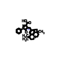 CC1(C)CCN2CCC3(C)Cc4c(/C=C5\C(=O)N(c6ccccc6)N=C5C(=O)O)cc1c2c43